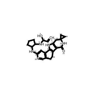 C=CC(O)NC1CCCC1Nc1cc2c(cn1)CCc1c-2[nH]c2c1C(=O)NC1(CC1)C2